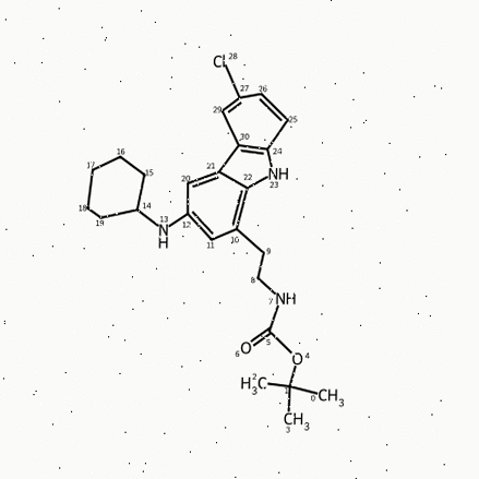 CC(C)(C)OC(=O)NCCc1cc(NC2CCCCC2)cc2c1[nH]c1ccc(Cl)cc12